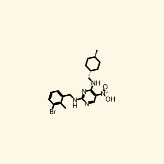 Cc1c(Br)cccc1CNc1ncc([N+](=O)O)c(NC[C@H]2CC[C@H](C)CC2)n1